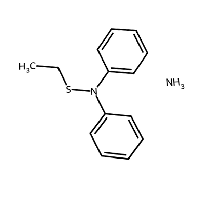 CCSN(c1ccccc1)c1ccccc1.N